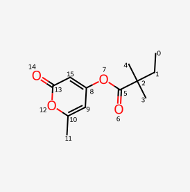 CCC(C)(C)C(=O)Oc1cc(C)oc(=O)c1